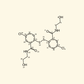 O=C(NCCO)c1cc(Cl)ccc1SSc1ccc(Cl)cc1C(=O)NCCO